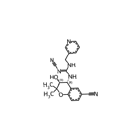 CC1(C)Oc2ccc(C#N)cc2[C@@H](NC(=NC#N)NCc2cccnc2)[C@@H]1O